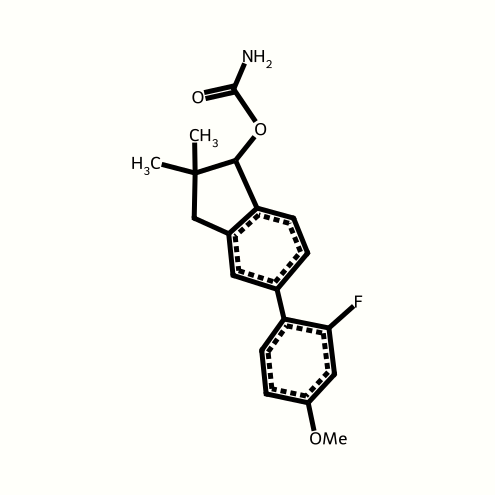 COc1ccc(-c2ccc3c(c2)CC(C)(C)C3OC(N)=O)c(F)c1